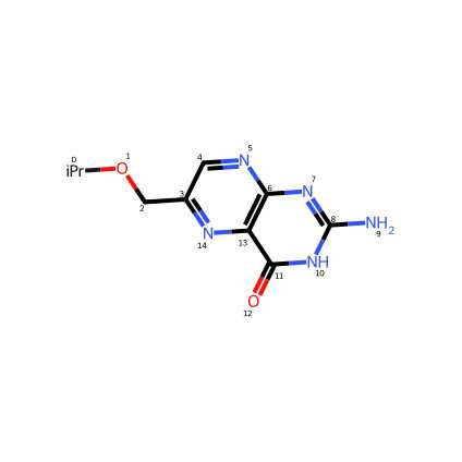 CC(C)OCc1cnc2nc(N)[nH]c(=O)c2n1